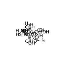 CC[C@H](C)[C@H](NC(=O)[C@@H](N)CS)C(=O)N[C@@H](CCC(=O)O)C(=O)N[C@H](C(=O)N[C@@H](CC(=O)O)C(=O)O)[C@@H](C)O